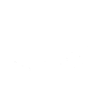 CC1(C)OCC(C)(C(=O)NCCCCCCN=[N+]=[N-])CO1